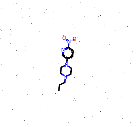 CCCN1CCN(c2ccc([N+](=O)[O-])nc2)CC1